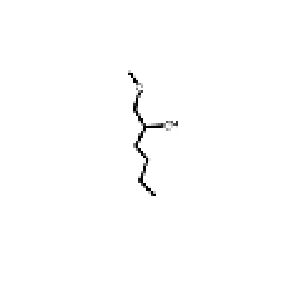 CCCCC(O)COC